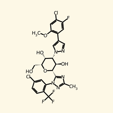 COc1cc(Cl)c(F)cc1-c1cnn([C@H]2[C@@H](O)[C@@H](CO)O[C@@H](c3nc(C)nn3-c3cc(Cl)ccc3C(F)(F)F)[C@@H]2O)c1